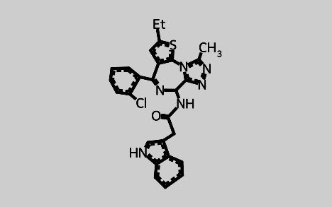 CCc1cc2c(s1)-n1c(C)nnc1C(NC(=O)Cc1c[nH]c3ccccc13)N=C2c1ccccc1Cl